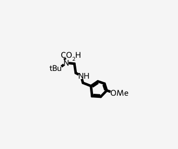 COc1ccc(CNCCN(C(=O)O)C(C)(C)C)cc1